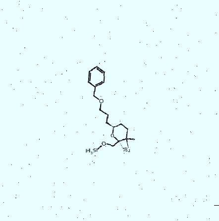 CC(C)(C)[C@]1(CO[SiH3])O[C@@H](CCCOCc2ccccc2)CCC1(C)C